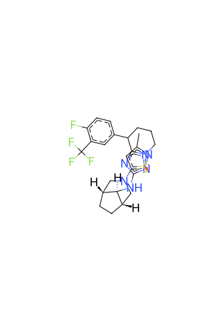 Cc1cc(N2C[C@H]3CC[C@@H](C2)[C@@H]3Nc2nc3n(n2)CCCC3c2ccc(F)c(C(F)(F)F)c2)sn1